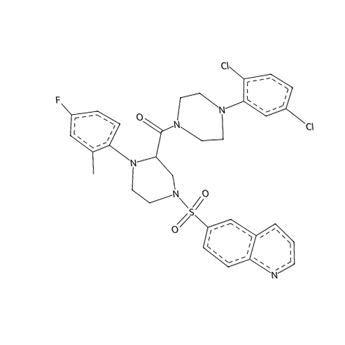 Cc1cc(F)ccc1N1CCN(S(=O)(=O)c2ccc3ncccc3c2)CC1C(=O)N1CCN(c2cc(Cl)ccc2Cl)CC1